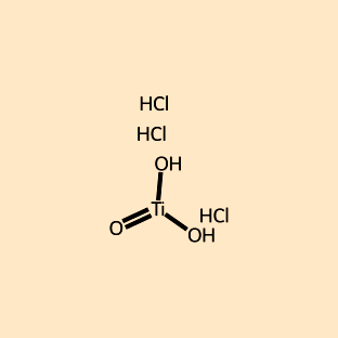 Cl.Cl.Cl.[O]=[Ti]([OH])[OH]